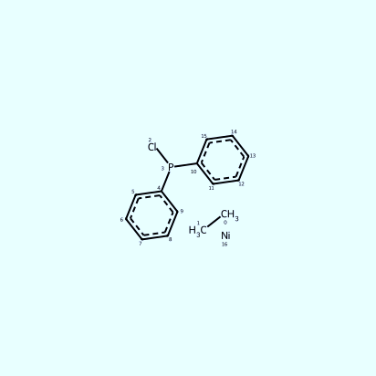 CC.ClP(c1ccccc1)c1ccccc1.[Ni]